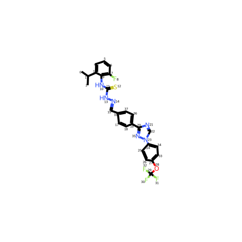 CC(C)c1cccc(F)c1NC(=S)N/N=C/c1ccc(-c2ncn(-c3ccc(OC(F)(F)F)cc3)n2)cc1